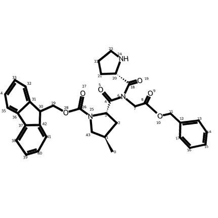 C[C@@H]1C[C@@H](C(=O)N(CC(=O)OCc2ccccc2)C(=O)[C@@H]2CCCN2)N(C(=O)OCC2c3ccccc3-c3ccccc32)C1